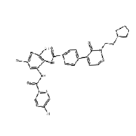 O=C(Nc1c(O)cc(Cl)cc1NC(=O)c1ccc(Cl)cn1)c1ccc(-c2ccnn(CCN3CCCC3)c2=O)cc1